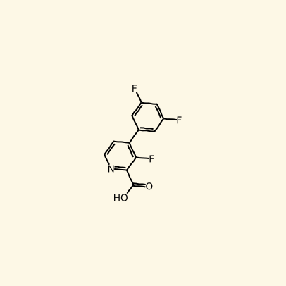 O=C(O)c1nccc(-c2cc(F)cc(F)c2)c1F